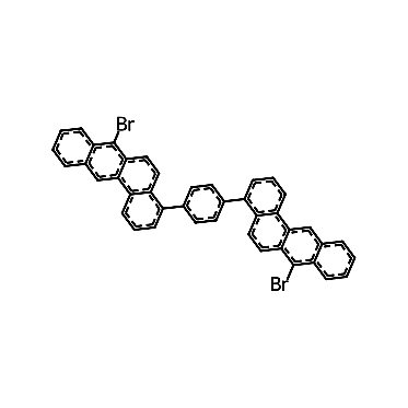 Brc1c2ccccc2cc2c1ccc1c(-c3ccc(-c4cccc5c4ccc4c(Br)c6ccccc6cc45)cc3)cccc12